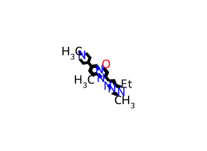 CCc1nc(C)cn2nc(-c3cc(=O)n4cc(C5CCN(C)CC5)cc(C)c4n3)cc12